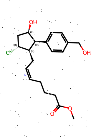 COC(=O)CCC/C=C\C[C@@H]1[C@H](c2ccc(CO)cc2)[C@H](O)C[C@H]1Cl